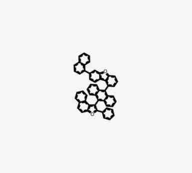 c1ccc(-c2oc3ccc4ccccc4c3c2-c2c3ccccc3c(-c3cccc4oc5cc(-c6cccc7ccccc67)ccc5c34)c3ccccc23)cc1